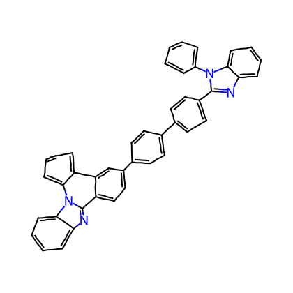 c1ccc(-n2c(-c3ccc(-c4ccc(-c5ccc6c(c5)c5ccccc5n5c7ccccc7nc65)cc4)cc3)nc3ccccc32)cc1